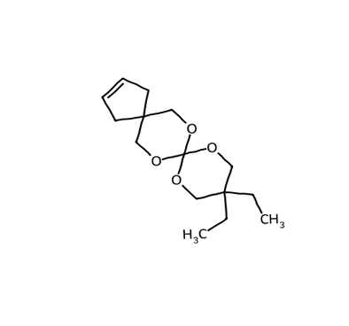 CCC1(CC)COC2(OC1)OCC1(CC=CC1)CO2